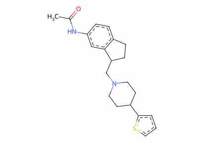 CC(=O)Nc1ccc2c(c1)C(CN1CCC(c3cccs3)CC1)CC2